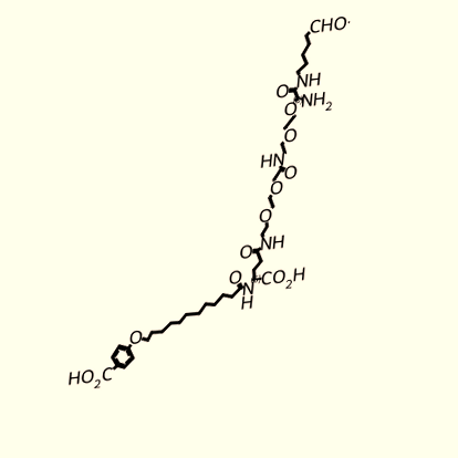 N[C@@H](OCCOCCNC(=O)COCCOCCNC(=O)CC[C@H](NC(=O)CCCCCCCCCCCOc1ccc(C(=O)O)cc1)C(=O)O)C(=O)NCCCCC[C]=O